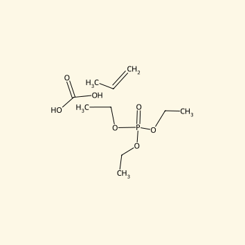 C=CC.CCOP(=O)(OCC)OCC.O=C(O)O